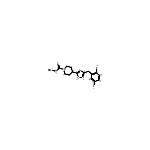 CC(C)(C)OC(=O)N1CCC(c2nc(Cc3cc(F)ccc3F)no2)CC1